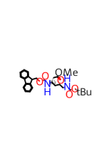 COC(=O)C[C@H](CCCNC(=O)OC(C)(C)C)NC(=O)OCC1c2ccccc2-c2ccccc21